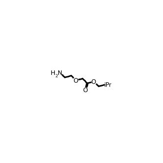 CC(C)COC(=O)COCCN